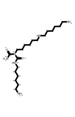 NCCCCCCNCCCCCCN(C(N)=O)C(=O)NCCCCCCN